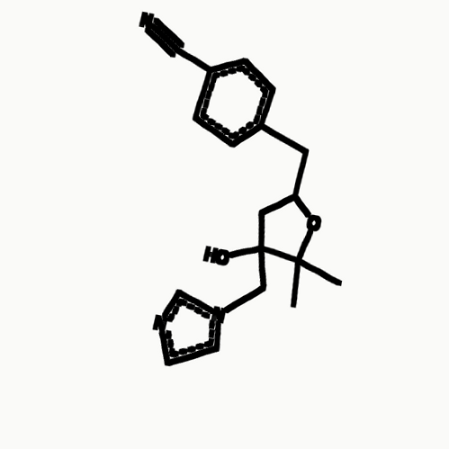 CC1(C)OC(Cc2ccc(C#N)cc2)CC1(O)Cn1ccnc1